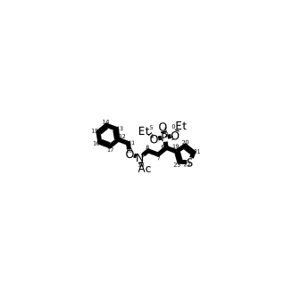 CCOP(=O)(OCC)C(CCN(OCc1ccccc1)C(C)=O)c1ccsc1